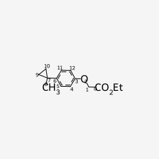 CCOC(=O)COc1ccc(C2(C)CC2)cc1